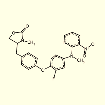 CN(c1ccc(Oc2ccc(CC3COC(=O)N3C)cc2)c(F)c1)c1ncccc1[N+](=O)[O-]